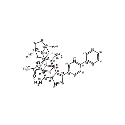 CS(=O)(=O)c1c([C@@H]2C[C@H]3CC[C@@H](C2)N3c2ncccc2N)nc2c(-c3ccc(-c4ccccc4)nc3)cnn2c1N